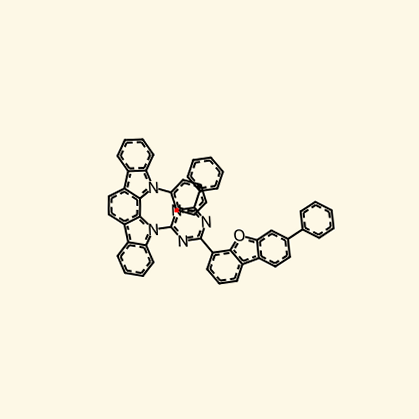 c1ccc(-c2ccc3c(c2)oc2c(-c4nc(-c5ccccc5)nc(-n5c6ccccc6c6ccc7c8ccccc8n(-c8ccccc8)c7c65)n4)cccc23)cc1